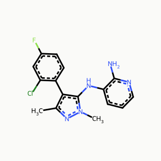 Cc1nn(C)c(Nc2cccnc2N)c1-c1ccc(F)cc1Cl